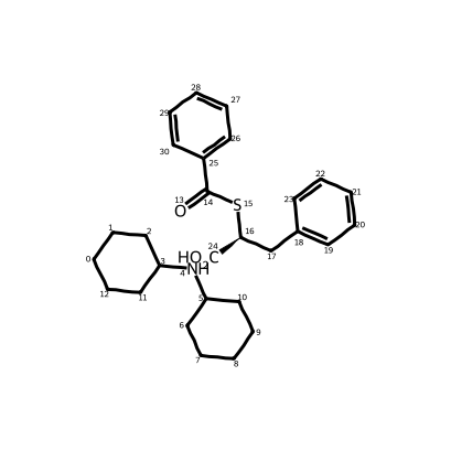 C1CCC(NC2CCCCC2)CC1.O=C(S[C@@H](Cc1ccccc1)C(=O)O)c1ccccc1